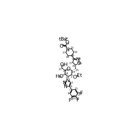 CCO[C@@H]1[C@@H](n2cc(-c3cc(F)c(F)c(F)c3)nn2)[C@@H](O)[C@@H](CO)O[C@@H]1C[C@H]1CC(C2CCN(C(=O)OC(C)(C)C)CC2)=NO1